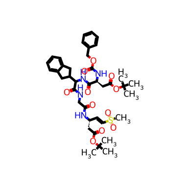 CC(C)(C)OC(=O)C[C@@H](/C=C/S(C)(=O)=O)NC(=O)CNC(=O)C(NC(=O)[C@H](CC(=O)OC(C)(C)C)NC(=O)OCc1ccccc1)C1Cc2ccccc2C1